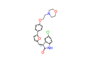 O=C1Nc2ccc(Cl)cc2/C1=C\c1ccc(-c2ccc(OCCN3CCOCC3)cc2)o1